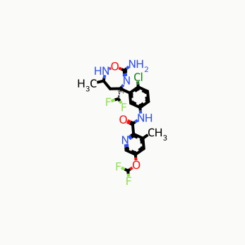 Cc1cc(OC(F)F)cnc1C(=O)Nc1ccc(Cl)c([C@@]2(C(F)F)CC(C)NOC(N)=N2)c1